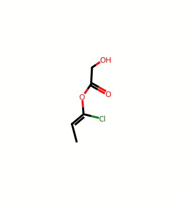 CC=C(Cl)OC(=O)CO